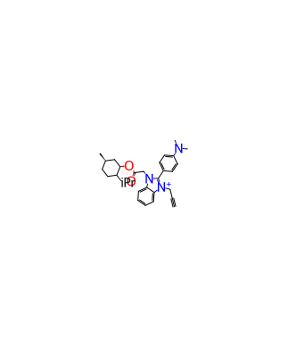 C#CC[n+]1c(-c2ccc(N(C)C)cc2)n(CC(=O)O[C@@H]2C[C@H](C)CCC2C(C)C)c2ccccc21